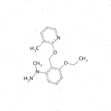 CCOc1cccc(N(C)N)c1COc1ncccc1C